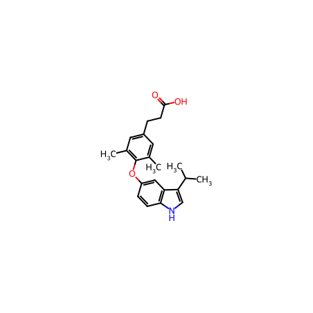 Cc1cc(CCC(=O)O)cc(C)c1Oc1ccc2[nH]cc(C(C)C)c2c1